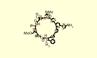 CNC(=O)C[C@@H]1NC(=O)c2csc(n2)-c2ccc(-c3nc(N)cs3)nc2C2=CCC(=N2)c2csc(n2)[C@H]([C@@H](C)c2ccccc2)NC(=O)CNC(=O)c2nc(sc2COC)C(C(C)C)NC(=O)c2nc1sc2C